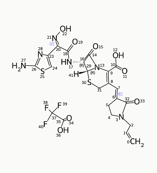 C=CCN1CC/C(=C\C2=C(C(=O)O)N3C(=O)[C@@H](NC(=O)/C(=N\O)c4csc(N)n4)[C@H]3SC2)C1=O.O=C(O)C(F)(F)F